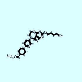 CC(C)CCCCOc1nc2c3c(n1)OCCN(c1ccc([C@H]4CC[C@H](CC(=O)O)CC4)nc1)C3=N2